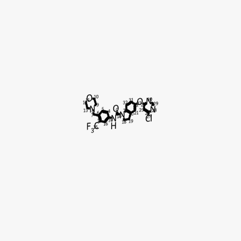 O=C(Nc1ccc(CN2CCOCC2)c(C(F)(F)F)c1)N1CCc2cc(Oc3cc(Cl)ncn3)ccc21